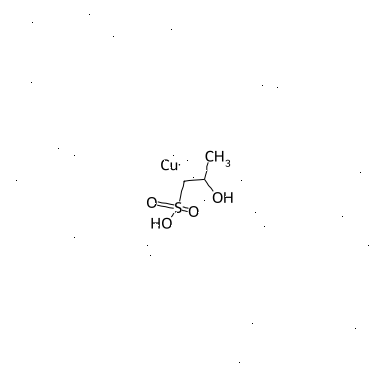 CC(O)CS(=O)(=O)O.[Cu]